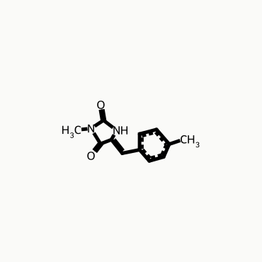 Cc1ccc(/C=C2\NC(=O)N(C)C2=O)cc1